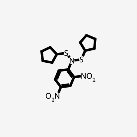 O=[N+]([O-])c1ccc(N(SC2CCCC2)SC2CCCC2)c([N+](=O)[O-])c1